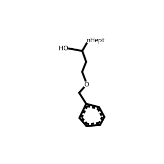 CCCCCCCC(O)CCOCc1ccccc1